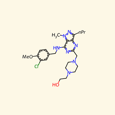 CCCc1nn(C)c2c(NCc3ccc(OC)c(Cl)c3)nc(CN3CCN(CCO)CC3)nc12